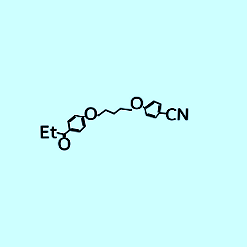 CCC(=O)c1ccc(OCCCCCOc2ccc(C#N)cc2)cc1